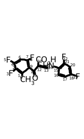 Cc1c(F)c(F)cc(F)c1C(=O)/C(=C/Nc1ccc(F)cc1F)C(=O)O